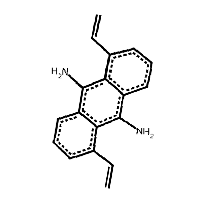 C=Cc1cccc2c(N)c3c(C=C)cccc3c(N)c12